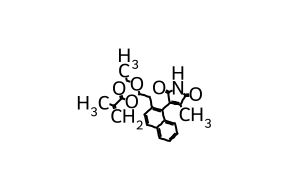 C=C(C)C(=O)OC(Cc1ccc2ccccc2c1C1=C(C)C(=O)NC1=O)OCC